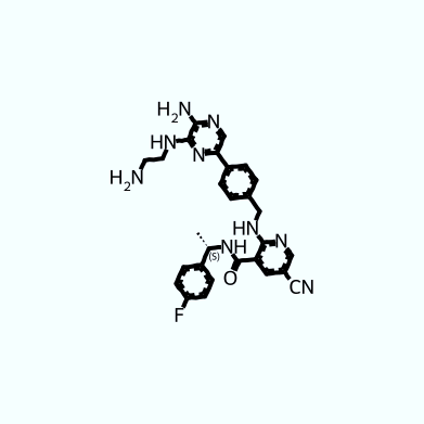 C[C@H](NC(=O)c1cc(C#N)cnc1NCc1ccc(-c2cnc(N)c(NCCN)n2)cc1)c1ccc(F)cc1